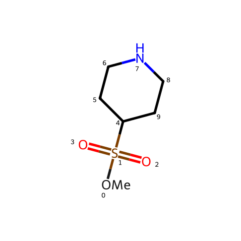 COS(=O)(=O)C1CCNCC1